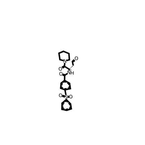 O=CC[C@H](NC(=O)c1ccc(S(=O)(=O)c2ccccc2)cc1)C(=O)N1CCCCC1